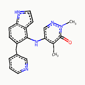 Cc1c(Nc2c(-c3cccnc3)ccc3[nH]ccc23)cnn(C)c1=O